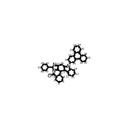 O=c1c2ccccc2c2c3c4ccccc4n(-c4ccc5c6ccccc6c6ccccc6c5c4)c3cc3nc(-c4ccccc4)n1c32